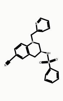 N#Cc1ccc2c(c1)C[C@H](NS(=O)(=O)c1ccccc1)CN2Cc1ccccn1